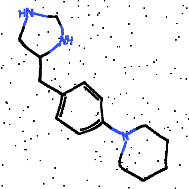 c1cc(N2CCCCC2)ccc1CC1CNCN1